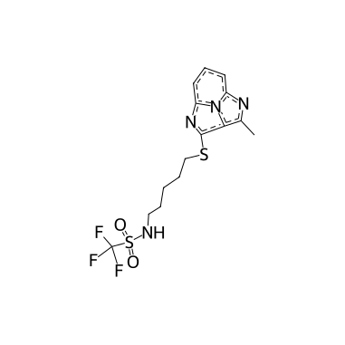 Cc1nc2cccc3nc(SCCCCCNS(=O)(=O)C(F)(F)F)c1n23